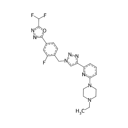 CCN1CCN(c2cccc(-c3cn(Cc4ccc(-c5nnc(C(F)F)o5)cc4F)nn3)n2)CC1